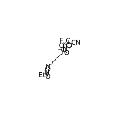 CCC(=O)N1CCN(CCCCCCCCC2=C(C)C(=O)N(c3ccc(C#N)c(C(F)(F)F)c3)C2=O)CC1